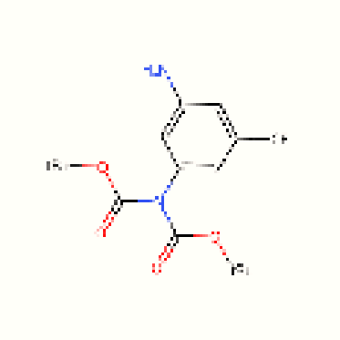 CC(C)(C)OC(=O)N(C(=O)OC(C)(C)C)c1cc(N)cc(C(F)(F)F)c1